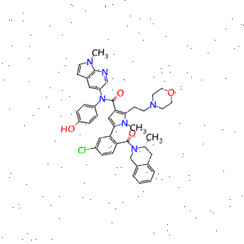 C[C@@H]1Cc2ccccc2CN1C(=O)c1ccc(Cl)cc1-c1cc(C(=O)N(c2ccc(O)cc2)c2cnc3c(ccn3C)c2)c(CCN2CCOCC2)n1C